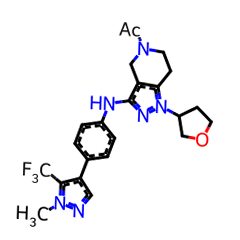 CC(=O)N1CCc2c(c(Nc3ccc(-c4cnn(C)c4C(F)(F)F)cc3)nn2C2CCOC2)C1